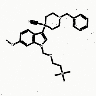 COc1ccc2c(C3(C#N)CCN(Cc4ccccc4)CC3)cn(COCC[Si](C)(C)C)c2c1